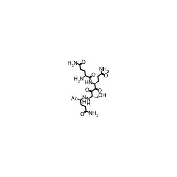 CC(=O)[C@H](CCC(N)=O)NN[C@@H](CO)C(=O)C(=O)[C@H](CCC(N)=O)NC(=O)[C@@H](N)CCC(N)=O